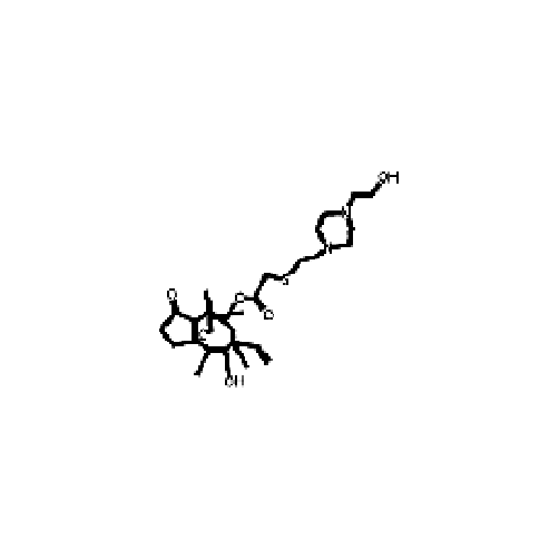 C=CC1(C)CC(OC(=O)CSCCN2CCN(CCO)CC2)C2(C)C(C)CCC3(CCC(=O)C32)C(C)C1O